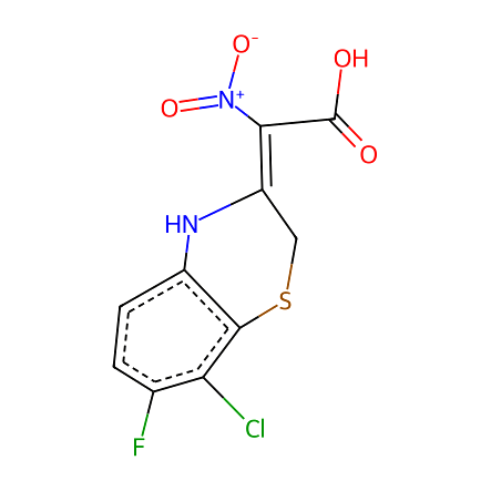 O=C(O)C(=C1CSc2c(ccc(F)c2Cl)N1)[N+](=O)[O-]